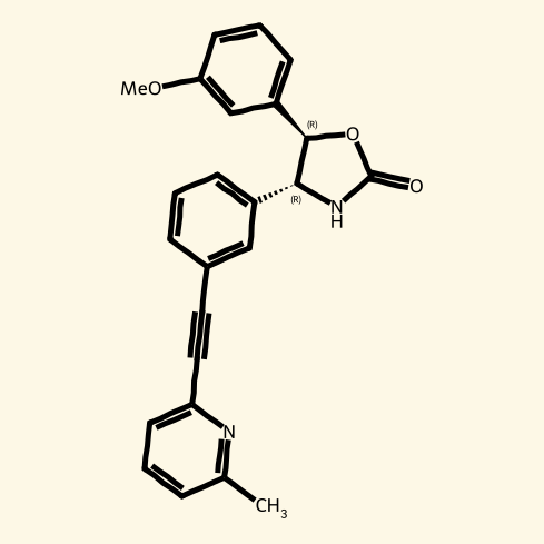 COc1cccc([C@H]2OC(=O)N[C@@H]2c2cccc(C#Cc3cccc(C)n3)c2)c1